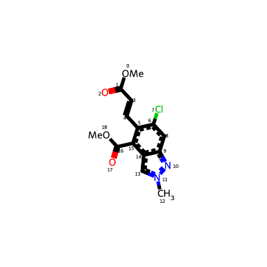 COC(=O)C=Cc1c(Cl)cc2nn(C)cc2c1C(=O)OC